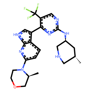 C[C@@H]1CNC[C@@H](Nc2ncc(C(F)(F)F)c(-c3c[nH]c4nc(N5CCOC[C@@H]5C)ccc34)n2)C1